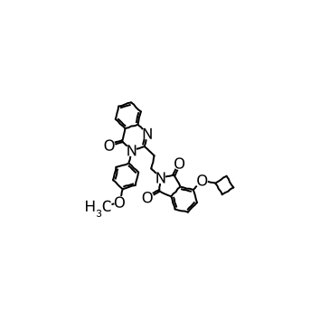 COc1ccc(-n2c(CCN3C(=O)c4cccc(OC5CCC5)c4C3=O)nc3ccccc3c2=O)cc1